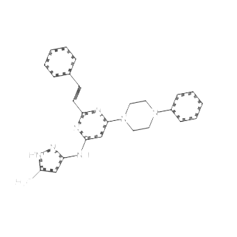 Cc1cc(Nc2cc(N3CCN(c4ccccc4)CC3)nc(C=Cc3ccccc3)n2)n[nH]1